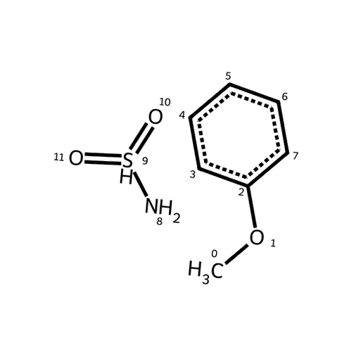 COc1ccccc1.N[SH](=O)=O